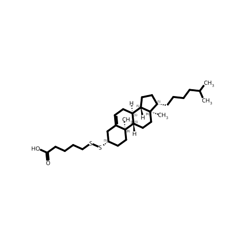 CC(C)CCCC[C@H]1CC[C@H]2[C@@H]3CC=C4C[C@@H](SSCCCCC(=O)O)CC[C@]4(C)[C@H]3CC[C@]12C